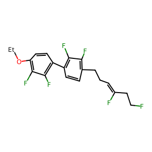 CCOc1ccc(-c2ccc(CCC=C(F)CCF)c(F)c2F)c(F)c1F